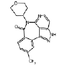 O=C1c2ccc(C(F)(F)F)cc2-c2n[nH]c3ccnc(c23)N1C1CCOCC1